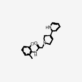 Cc1cccc(Cl)c1NC(=O)CN1CC=C(C2C=CC=CN2)CC1